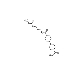 C=CC(=O)OCCCOC(=O)C1CCC(C2CCC(C(=O)OC)CC2)CC1